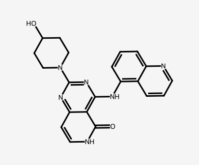 O=c1[nH]ccc2nc(N3CCC(O)CC3)nc(Nc3cccc4ncccc34)c12